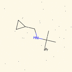 CC(C)C(C)(C)NCC1CC1